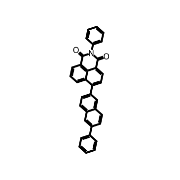 O=C1c2cccc3c(-c4ccc5cc(-c6ccccc6)ccc5c4)ccc(c23)C(=O)N1c1ccccc1